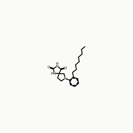 CCCCCCCCc1ccccc1N1CCC2(C1)NC(=O)NC2=O